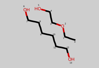 CCOCCO.OCCCCCCO